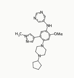 COc1cc(N2CCN(C3CCCC3)CC2)c(-c2cnn(C)c2)cc1Nc1cncnc1